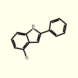 Clc1cccc2[nH]c(-c3ccccc3)cc12